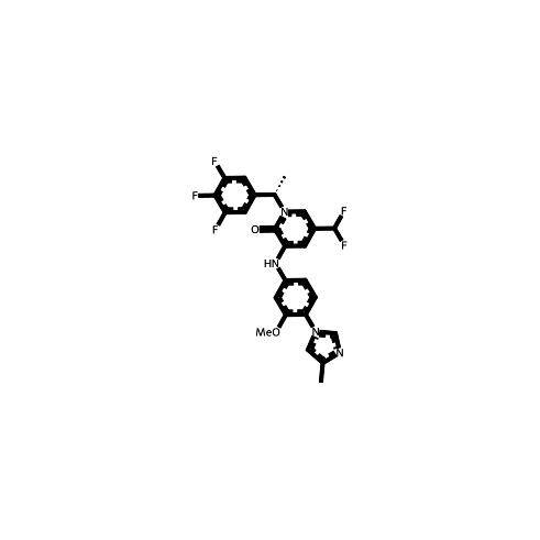 COc1cc(Nc2cc(C(F)F)cn([C@@H](C)c3cc(F)c(F)c(F)c3)c2=O)ccc1-n1cnc(C)c1